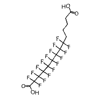 O=C(O)CCCCC(F)(F)C(F)(F)C(F)(F)C(F)(F)C(F)(F)C(F)(F)C(F)(F)C(F)(F)C(=O)O